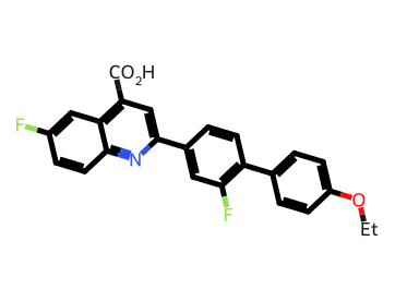 CCOc1ccc(-c2ccc(-c3cc(C(=O)O)c4cc(F)ccc4n3)cc2F)cc1